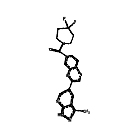 Cc1n[nH]c2ncc(-c3cnc4ccc(C(=O)N5CCC(F)(F)CC5)cc4n3)cc12